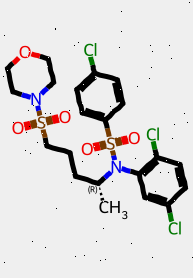 C[C@H](CCCS(=O)(=O)N1CCOCC1)N(c1cc(Cl)ccc1Cl)S(=O)(=O)c1ccc(Cl)cc1